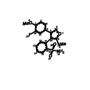 COc1ccc(-c2noc(SC)c2-c2ccccc2S(N)(=O)=O)cc1F